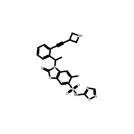 CC(c1ccccc1C#CC1CNC1)n1c(=O)oc2cc(S(=O)(=O)Nc3ncns3)c(F)cc21